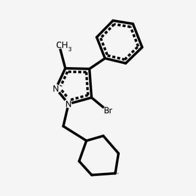 Cc1nn(CC2CC[CH]CC2)c(Br)c1-c1ccccc1